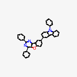 c1ccc(-c2nc(-c3ccccc3)c3oc4ccc(-c5ccc6c(c5)c5ccccc5n6-c5ccccc5)cc4c3n2)cc1